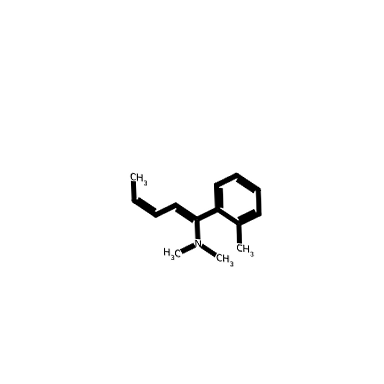 C/C=C\C=C(\c1ccccc1C)N(C)C